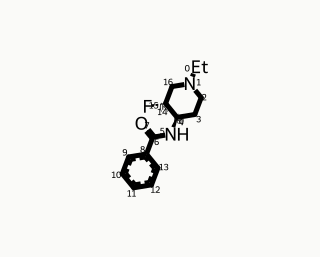 CCN1CC[C@@H](NC(=O)c2ccccc2)[C@H](F)C1